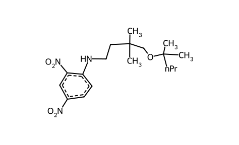 CCCC(C)(C)OCC(C)(C)CCNc1ccc([N+](=O)[O-])cc1[N+](=O)[O-]